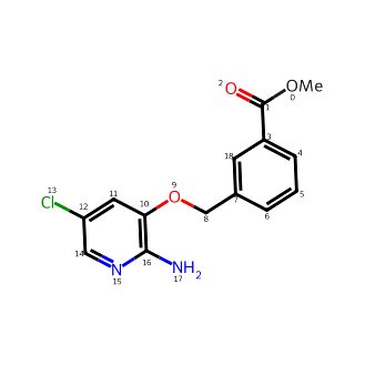 COC(=O)c1cccc(COc2cc(Cl)cnc2N)c1